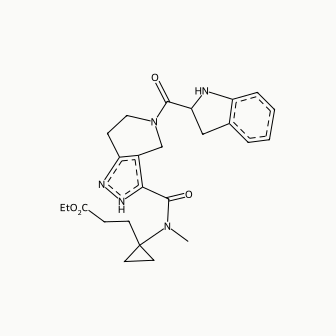 CCOC(=O)CCC1(N(C)C(=O)c2[nH]nc3c2CN(C(=O)C2Cc4ccccc4N2)CC3)CC1